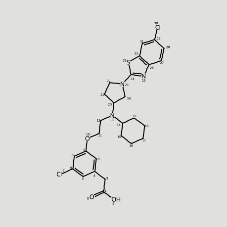 O=C(O)Cc1cc(Cl)cc(OCCN(C2CCCCC2)C2CCN(c3nc4ccc(Cl)cc4s3)C2)c1